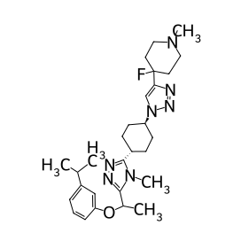 CC(C)c1cccc(OC(C)c2nnc([C@H]3CC[C@H](n4cc(C5(F)CCN(C)CC5)nn4)CC3)n2C)c1